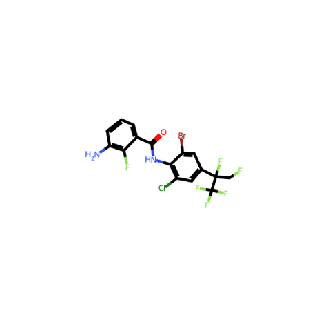 Nc1cccc(C(=O)Nc2c(Cl)cc(C(F)(CF)C(F)(F)F)cc2Br)c1F